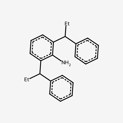 CCC(c1ccccc1)c1cccc(C(CC)c2ccccc2)c1N